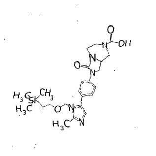 Cc1ncc(-c2ccc(N3CC4CN(C(=O)O)CCN4C3=O)cc2)n1COCC[Si](C)(C)C